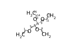 C=COC[C@H](OC=C)[C@@H](COC=C)OC=C